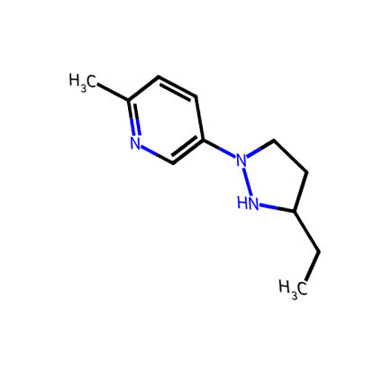 CCC1CCN(c2ccc(C)nc2)N1